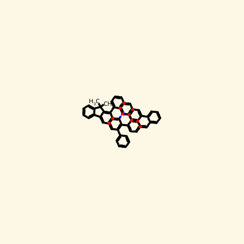 CC1(C)c2ccccc2-c2cccc(-c3ccccc3N(c3ccc4c(ccc5ccccc54)c3)c3cccc(-c4ccccc4)c3-c3ccccc3-c3ccccc3)c21